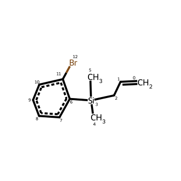 C=CC[Si](C)(C)c1ccccc1Br